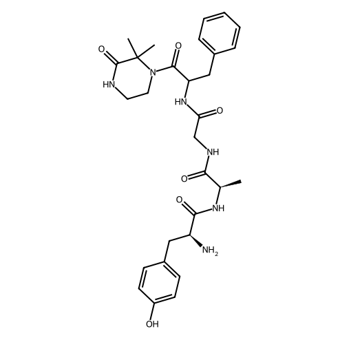 C[C@@H](NC(=O)[C@@H](N)Cc1ccc(O)cc1)C(=O)NCC(=O)NC(Cc1ccccc1)C(=O)N1CCNC(=O)C1(C)C